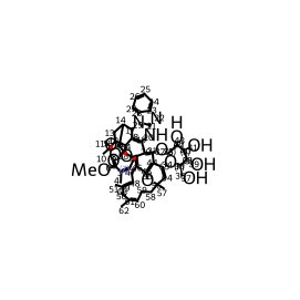 COC(=O)/C(C)=C\CC12OC(C)(C)C3CC(C1=O)C1C4=C(Nc5nc6ccccc6n51)c1c(O[C@@H]5O[C@H](CO)[C@@H](O)[C@H](O)[C@H]5O)c5c(c(CC=C(C)C)c1OC432)OC(C)(CCC=C(C)C)C=C5